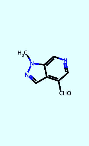 Cn1ncc2c(C=O)cncc21